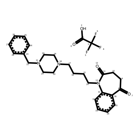 O=C(O)C(F)(F)F.O=C1CCC(=O)N(CCCCN2CCN(Cc3ccccc3)CC2)c2ccccc21